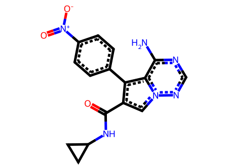 Nc1ncnn2cc(C(=O)NC3CC3)c(-c3ccc([N+](=O)[O-])cc3)c12